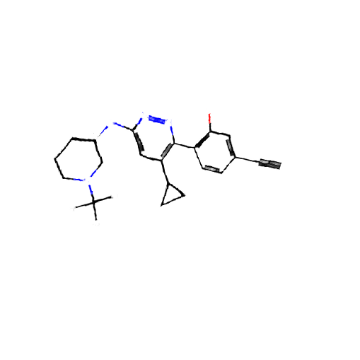 [2H]C([2H])([2H])N1CCC[C@@H](Nc2cc(C3CC3)c(-c3ccc(C#C)cc3O)nn2)C1